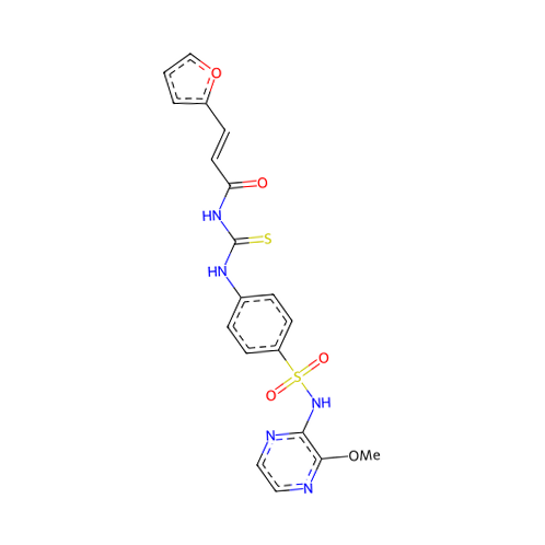 COc1nccnc1NS(=O)(=O)c1ccc(NC(=S)NC(=O)C=Cc2ccco2)cc1